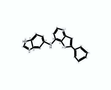 c1ccc(-c2cc3nccc(Nc4ccc5[nH]cnc5c4)c3s2)cc1